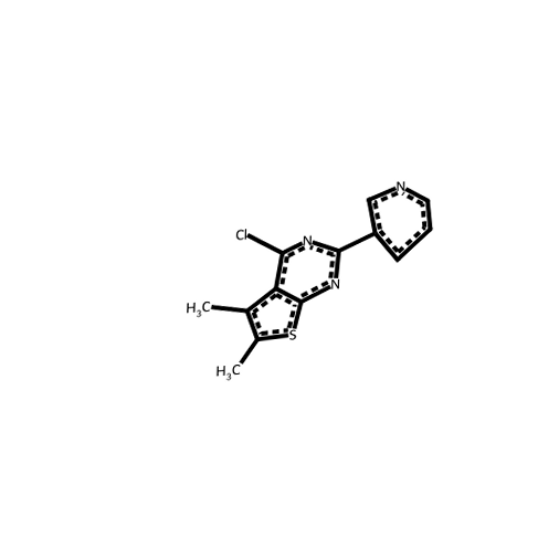 Cc1sc2nc(-c3cccnc3)nc(Cl)c2c1C